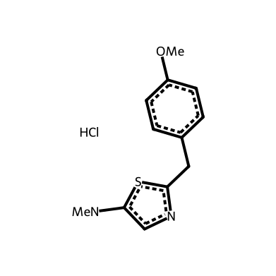 CNc1cnc(Cc2ccc(OC)cc2)s1.Cl